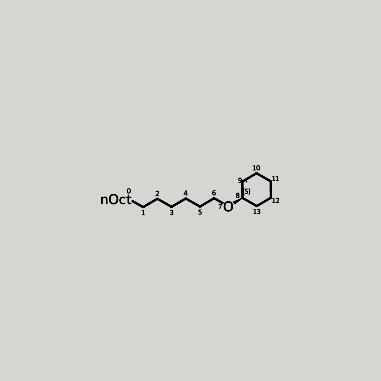 [CH2]CCCCCCCCCCCCCO[C@H]1[CH]CCCC1